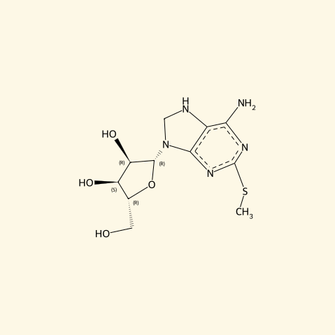 CSc1nc(N)c2c(n1)N([C@@H]1O[C@H](CO)[C@@H](O)[C@H]1O)CN2